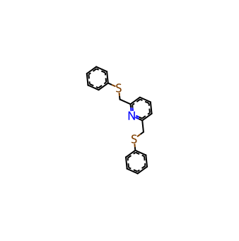 c1ccc(SCc2cccc(CSc3ccccc3)n2)cc1